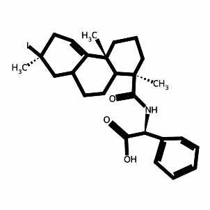 C[C@]1(I)CC=C2C(CCC3[C@](C)(C(=O)N[C@H](C(=O)O)c4ccccc4)CCC[C@@]23C)C1